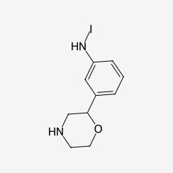 INc1cccc(C2CNCCO2)c1